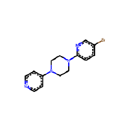 Brc1ccc(N2CCN(c3ccncc3)CC2)nc1